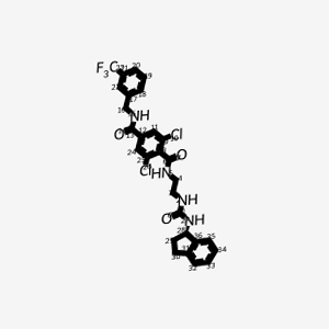 O=C(NCCNC(=O)c1c(Cl)cc(C(=O)NCc2cccc(C(F)(F)F)c2)cc1Cl)N[C@@H]1CCc2ccccc21